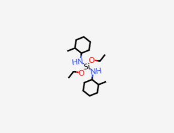 CCO[Si](NC1CCCCC1C)(NC1CCCCC1C)OCC